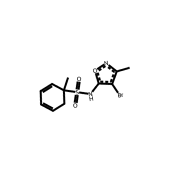 Cc1noc(NS(=O)(=O)C2(C)C=CC=CC2)c1Br